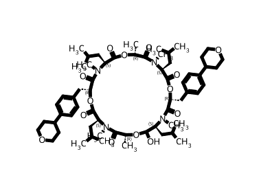 CC(C)C[C@H]1C(=O)O[C@H](Cc2ccc(C3CCOCC3)cc2)C(=O)N(C)[C@@H](CC(C)C)C(O)O[C@H](C)C(=O)N(C)[C@@H](CC(C)C)C(=O)O[C@H](Cc2ccc(C3CCOCC3)cc2)C(=O)N(C)[C@@H](CC(C)C)C(=O)O[C@H](C)C(=O)N1C